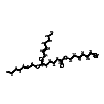 CCCC/C=C/COC(CCCCC(=O)OCCCCCCBr)OC/C=C/CCCC